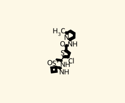 Cc1cccc(NC(=O)c2cc(Cl)c([C@@H]3C[S+]([O-])C4(CCC4)C(=N)N3)s2)n1